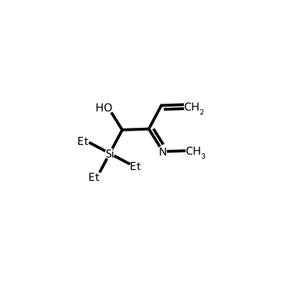 C=CC(=NC)C(O)[Si](CC)(CC)CC